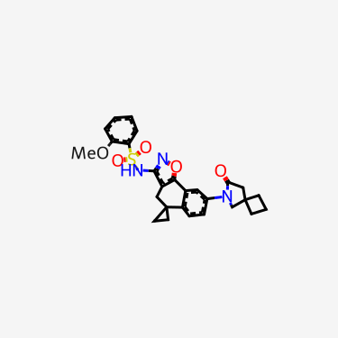 COc1ccccc1S(=O)(=O)Nc1noc2c1CC1(CC1)c1ccc(N3CC4(CCC4)CC3=O)cc1-2